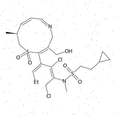 CC/C=C(C(\Cl)=C(/CCl)N(C)S(=O)(=O)CCC1CC1)/C1=C(\CO)C/N=C\C=C/[C@H](C)CS1(=O)=O